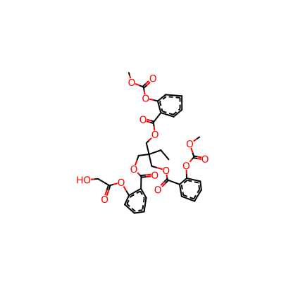 CCC(COC(=O)c1ccccc1OC(=O)CO)(COC(=O)c1ccccc1OC(=O)OC)COC(=O)c1ccccc1OC(=O)OC